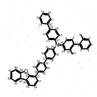 Cc1ccccc1-c1ccc(N(c2ccc(-c3ccccc3)cc2)c2ccc(-c3ccc(-c4cccc5c4oc4ccccc45)cc3)cc2)cc1C